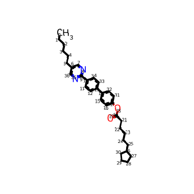 CCCCCCc1cnc(-c2ccc(-c3ccc(OC(=O)CCCCCC4CCCC4)cc3)cc2)nc1